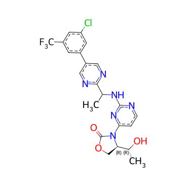 CC(Nc1nccc(N2C(=O)OC[C@@H]2[C@@H](C)O)n1)c1ncc(-c2cc(Cl)cc(C(F)(F)F)c2)cn1